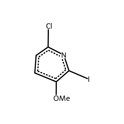 COc1ccc(Cl)nc1I